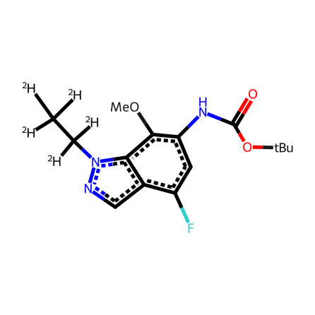 [2H]C([2H])([2H])C([2H])([2H])n1ncc2c(F)cc(NC(=O)OC(C)(C)C)c(OC)c21